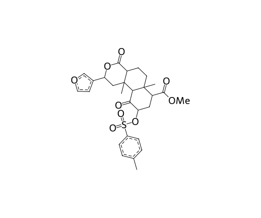 COC(=O)C1CC(OS(=O)(=O)c2ccc(C)cc2)C(=O)C2C1(C)CCC1C(=O)OC(c3ccoc3)CC12C